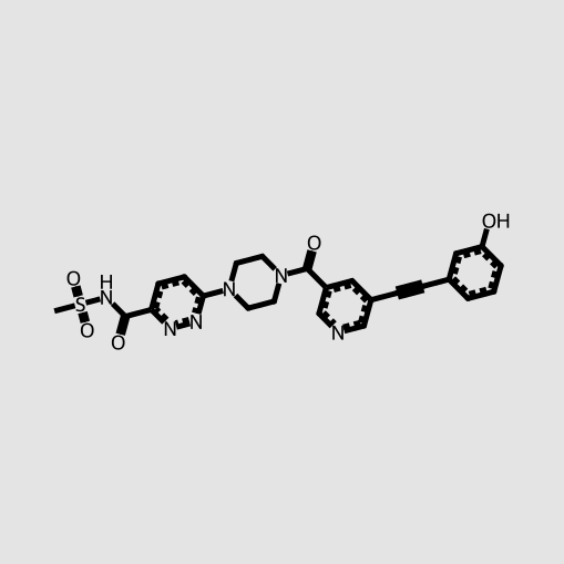 CS(=O)(=O)NC(=O)c1ccc(N2CCN(C(=O)c3cncc(C#Cc4cccc(O)c4)c3)CC2)nn1